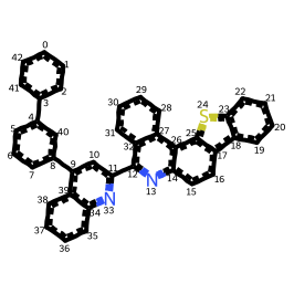 c1ccc(-c2cccc(-c3cc(-c4nc5ccc6c7ccccc7sc6c5c5ccccc45)nc4ccccc34)c2)cc1